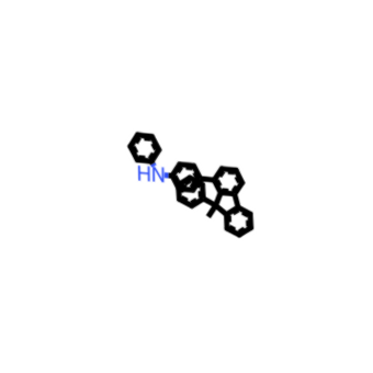 CC1(c2ccccc2)c2ccccc2-c2cccc(-c3ccc(Nc4ccccc4)cc3)c21